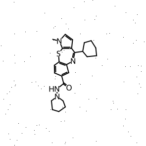 Cn1ccc2c1Sc1ccc(C(=O)NN3CCCCC3)cc1N=C2C1CCCCC1